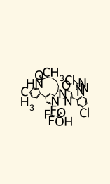 Cc1ccc2c(c1)NC(=O)[C@H](C)CCC[C@H](n1cnc(-c3cc(Cl)ccc3-n3cc(Cl)nn3)cc1=O)c1cc-2ccn1.O=C(O)C(F)(F)F